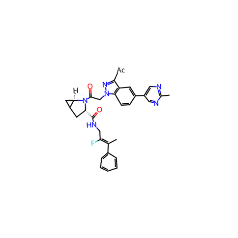 CC(=O)c1nn(CC(=O)N2[C@@H]3CC3C[C@H]2C(=O)NC/C(F)=C(\C)c2ccccc2)c2ccc(-c3cnc(C)nc3)cc12